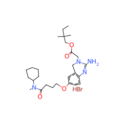 Br.CCC(C)(C)COC(=O)CN1Cc2cc(OCCCC(=O)N(C)C3CCCCC3)ccc2N=C1N